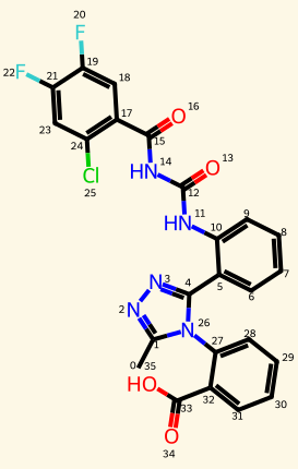 Cc1nnc(-c2ccccc2NC(=O)NC(=O)c2cc(F)c(F)cc2Cl)n1-c1ccccc1C(=O)O